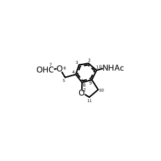 CC(=O)Nc1ccc(COC=O)c2c1CCO2